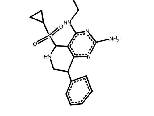 CCNc1nc(N)nc2c1C(S(=O)(=O)C1CC1)NCC2c1ccccc1